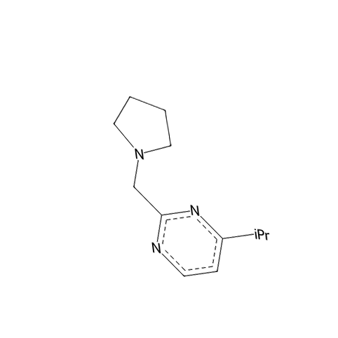 CC(C)c1ccnc(CN2CCCC2)n1